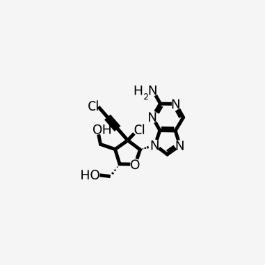 Nc1ncc2ncn([C@@H]3O[C@H](CO)C(CO)C3(Cl)C#CCl)c2n1